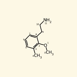 COc1c(C)cccc1CCN